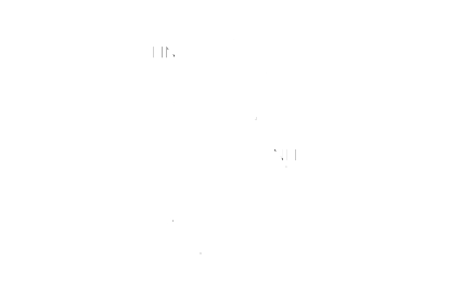 [C]1NCCc2[nH]c3ccsc3c21